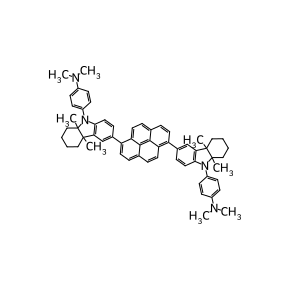 CN(C)c1ccc(N2c3ccc(-c4ccc5ccc6c(-c7ccc8c(c7)C7(C)CCCCC7(C)N8c7ccc(N(C)C)cc7)ccc7ccc4c5c76)cc3C3(C)CCCCC23C)cc1